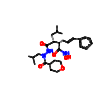 CC(C)C[C@@H](C(=O)NN(CC(C)C)C(=O)C1CCOCC1)[C@H](CC=Cc1ccccc1)C(=O)NO